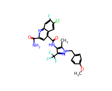 COc1ccc(Cn2nc(C(F)(F)F)c(NC(=O)c3cc(C(N)=O)nc4cc(F)c(Cl)cc34)c2C)cc1